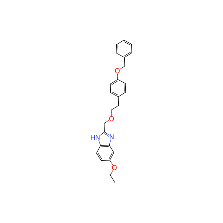 CCOc1ccc2[nH]c(COCCc3ccc(OCc4ccccc4)cc3)nc2c1